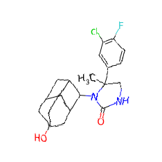 CC1(c2ccc(F)c(Cl)c2)CNC(=O)N1C1C2CC3CC1CC(O)(C3)C2